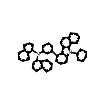 c1ccc(-n2c3cccc(-c4cccc(N(c5cccc6ccccc56)c5cccc6ccccc56)c4)c3c3ccc4ccccc4c32)cc1